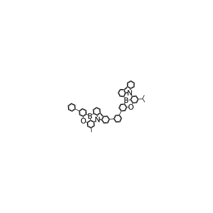 Cc1cc2c3c(c1)-n1c4ccc(-c5cccc(-c6ccc7c(c6)Oc6cc(C(C)C)cc8c6B7c6cccc7c9ccccc9n-8c67)c5)cc4c4cccc(c41)B3c1ccc(-c3ccccc3)cc1O2